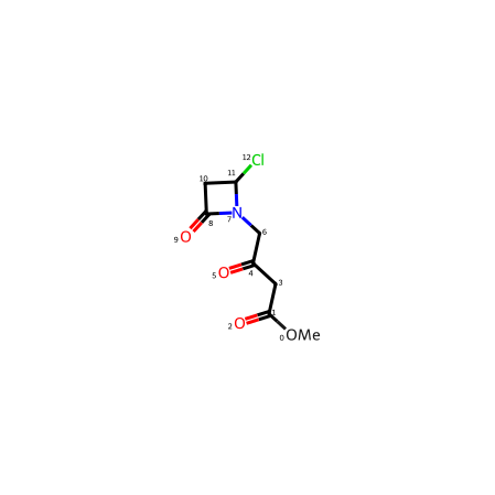 COC(=O)CC(=O)CN1C(=O)CC1Cl